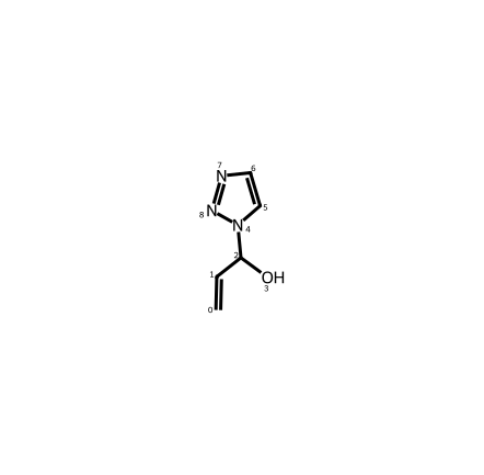 C=CC(O)n1ccnn1